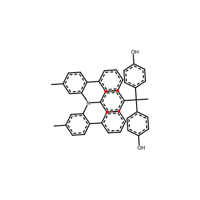 Cc1ccc(-c2ccccc2)c(N(c2ccc(C(C)(c3ccc(O)cc3)c3ccc(O)cc3)cc2)c2cc(C)ccc2-c2ccccc2)c1